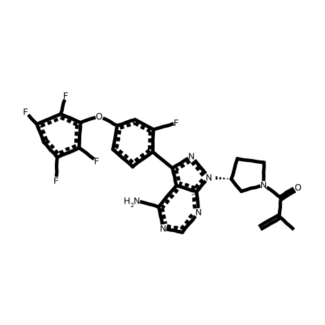 C=C(C)C(=O)N1CC[C@@H](n2nc(-c3ccc(Oc4c(F)c(F)cc(F)c4F)cc3F)c3c(N)ncnc32)C1